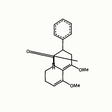 COC1=CCCC23CNC(=O)CC2C(c2ccccc2)CC(OC)=C13